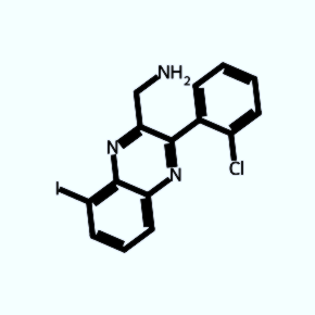 NCc1nc2c(I)cccc2nc1-c1ccccc1Cl